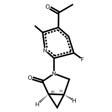 CC(=O)c1cc(F)c(N2C[C@H]3C[C@H]3C2=O)nc1C